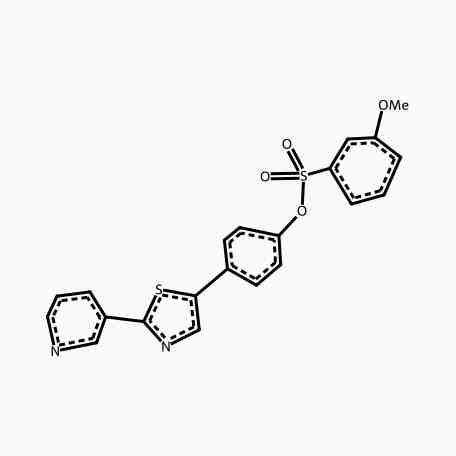 COc1cccc(S(=O)(=O)Oc2ccc(-c3cnc(-c4cccnc4)s3)cc2)c1